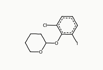 Clc1cccc(I)c1OC1CCCCO1